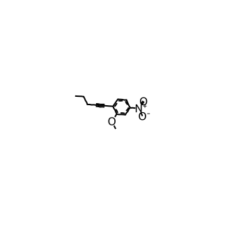 CCCC#Cc1ccc([N+](=O)[O-])cc1OC